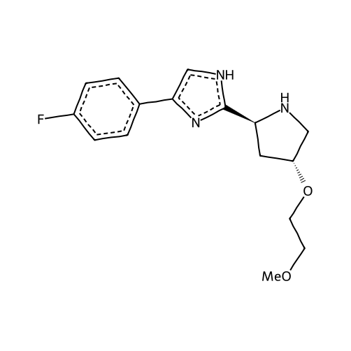 COCCO[C@H]1CN[C@H](c2nc(-c3ccc(F)cc3)c[nH]2)C1